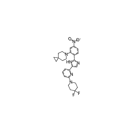 O=[N+]([O-])c1ccc(-c2ncc(-c3cccc(N4CCC(F)(F)CC4)n3)[nH]2)c(N2CCC3(CC2)CC3)c1